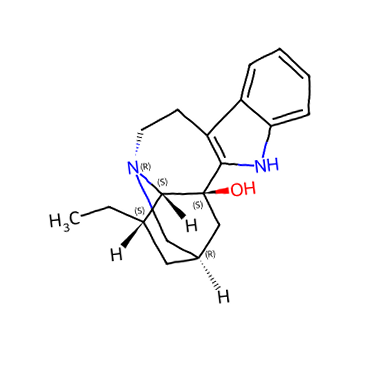 CC[C@H]1C[C@H]2C[N@]3CCc4c([nH]c5ccccc45)[C@](O)(C2)[C@H]13